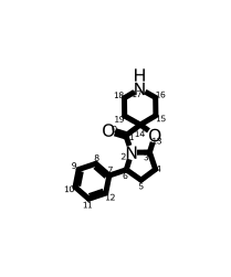 O=C1N2C(CCC2c2ccccc2)OC12CCNCC2